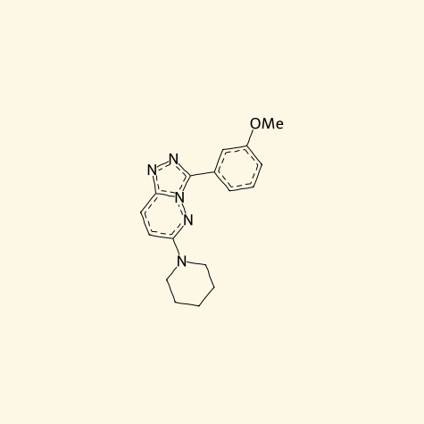 COc1cccc(-c2nnc3ccc(N4CCCCC4)nn23)c1